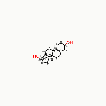 C[C@]12CC[C@@H]3C4=C(CC[C@H]3[C@@H]1CC[C@@H]2O)CC(O)CC4